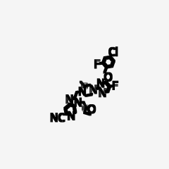 C[C@H]1CN(c2ncc(F)c(OCc3ccc(Cl)cc3F)n2)CCN1Cc1nc2cc(C#N)ncc2n1C[C@@H]1CCO1